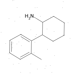 Cc1ccccc1C1CCCCC1N